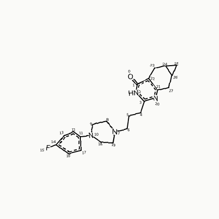 O=c1[nH]c(CCCN2CCN(c3ccc(F)cc3)CC2)nc2c1CC1CC1C2